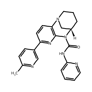 Cc1ccc(-c2ccc3c(n2)N(C(=O)Nc2ccccn2)[C@H]2CCCN3C2)cn1